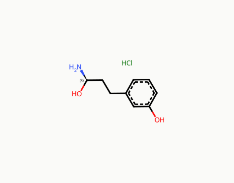 Cl.N[C@H](O)CCc1cccc(O)c1